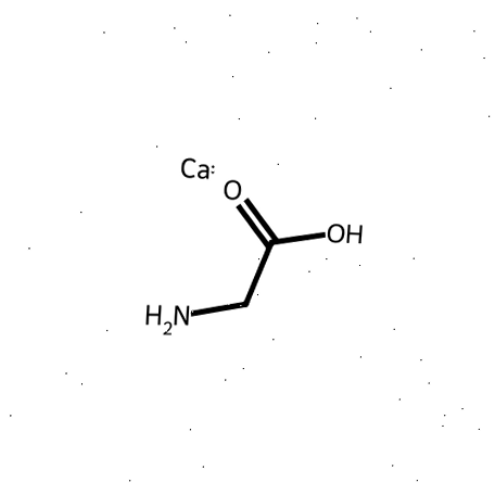 NCC(=O)O.[Ca]